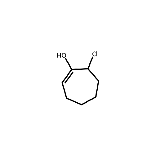 OC1=CCCCCC1Cl